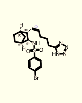 O=S(=O)(N[C@H]1[C@H]2CC[C@H](C2)[C@@H]1/C=C\CCCc1nnn[nH]1)c1ccc(Br)cc1